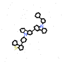 C1=CC2c3cc(-c4ccc5c(c4)c4ccccc4n5-c4cccc(-c5ccccc5)c4)ccc3N(c3ccc(-c4cccc5sc6ccccc6c45)cc3)C2C=C1